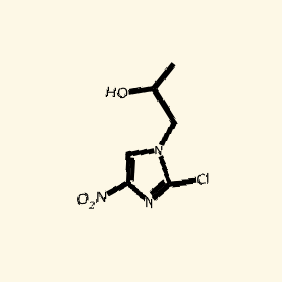 CC(O)Cn1cc([N+](=O)[O-])nc1Cl